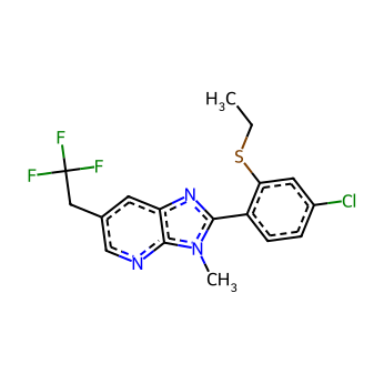 CCSc1cc(Cl)ccc1-c1nc2cc(CC(F)(F)F)cnc2n1C